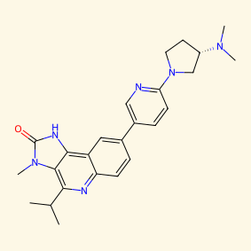 CC(C)c1nc2ccc(-c3ccc(N4CC[C@H](N(C)C)C4)nc3)cc2c2[nH]c(=O)n(C)c12